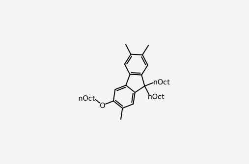 CCCCCCCCOc1cc2c(cc1C)C(CCCCCCCC)(CCCCCCCC)c1cc(C)c(C)cc1-2